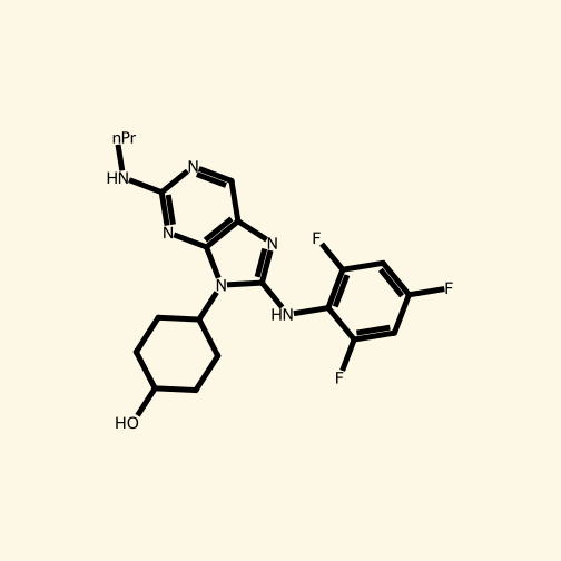 CCCNc1ncc2nc(Nc3c(F)cc(F)cc3F)n(C3CC[C](O)CC3)c2n1